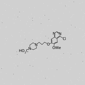 COc1cc2c(Cl)ncnc2cc1OCCCN1CCN(C(=O)O)CC1